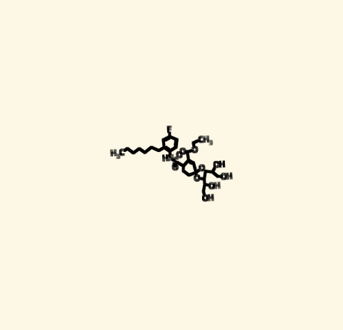 CCCCCCCc1cc(F)ccc1NS(=O)(=O)C1CCC2(C=C1C(=O)OCC)OC(C(O)CO)C(C(O)CO)O2